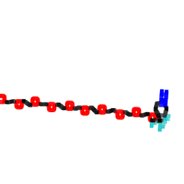 COCCOCCOCCOCCOCCOCCOCCOCCOCCOC1(C(F)(F)F)CCNCC1